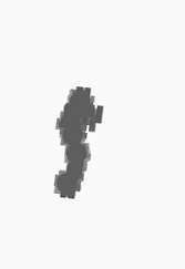 CCC1(NC(=O)NC2(c3ccc(-c4ccc(COCc5cccnc5)cc4)cc3)CC2)CN2CCC1CC2